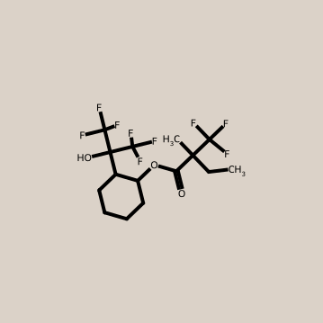 CCC(C)(C(=O)OC1CCCCC1C(O)(C(F)(F)F)C(F)(F)F)C(F)(F)F